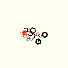 CC(C)(C)CC(O[SiH](c1ccccc1)c1ccccc1)C1(CCOS(C)(=O)=O)CCCCC1